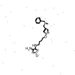 CN(Cc1ccccc1)Cc1cnn(OCCCCNc2n[s+]([O-])nc2N)c1